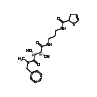 CN(Cc1ccccc1)C(=O)[C@H](O)[C@@H](O)C(=O)NCCCNC(=O)C1CC=CS1